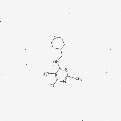 Cc1nc(Cl)c(N)c(NCC2CCOCC2)n1